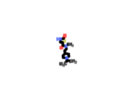 CC(C)N1CCC(CCN(C)C(=O)c2c[nH]c(=O)s2)CC1